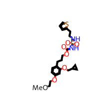 COCCOc1ccc(CCCOC(=O)NS(=O)(=O)NCCc2cccs2)c(OCC2CC2)c1